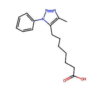 Cc1nnn(-c2ccccc2)c1CCCCCCC(=O)O